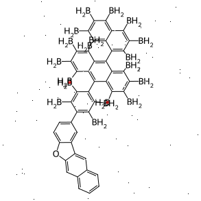 Bc1c(B)c(-c2c3c(B)c(B)c(B)c(B)c3c(-c3c(B)c(B)c(B)c4c(B)c(B)c(B)c(B)c34)c3c(B)c(B)c(B)c(B)c23)c(B)c(B)c1-c1ccc2oc3cc4ccccc4cc3c2c1